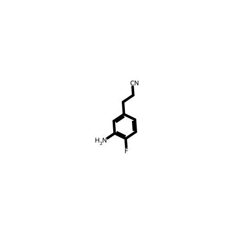 N#CCCc1ccc(F)c(N)c1